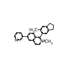 Cc1cc2c(cc1-c1c3ccc(-c4cccnc4)cc3cc[n+]1C)CCC2